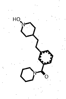 O=C(c1cccc(CCC2CCN(O)CC2)c1)N1CCCCC1